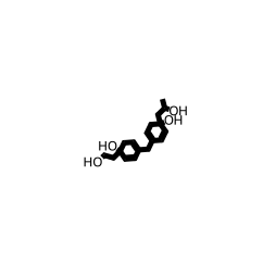 CC(O)CC1(O)C=CC(CC2=CCC(O)(CCO)C=C2)=CC1